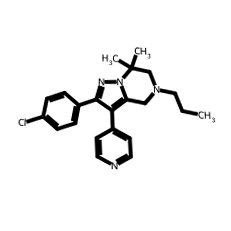 CCCN1Cc2c(-c3ccncc3)c(-c3ccc(Cl)cc3)nn2C(C)(C)C1